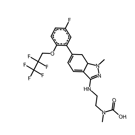 CN(CCNC1=NN(C)C2CC(c3cc(F)ccc3OCC(F)(F)C(F)(F)F)=CC=C12)C(=O)O